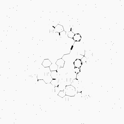 COC(=O)N1CC[C@H]2CC[C@@H](C(=O)N[C@@H](CCC(N)=O)C(=O)N[C@H](C(=O)N3CCC(CCC#Cc4cccc5c4CN(C4CCC(=O)NC4=O)C5=O)CC3)C3CCCCC3)N2C(=O)[C@@H](NC(=O)c2cc3cc(C(F)(F)P(=O)(O)O)ccc3s2)C1